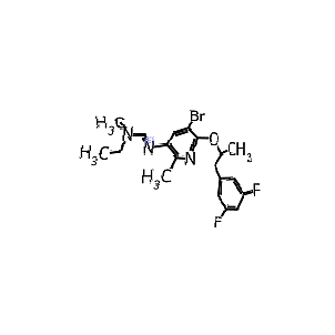 CCN(C)/C=N/c1cc(Br)c(OC(C)Cc2cc(F)cc(F)c2)nc1C